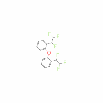 FC(F)C(F)c1ccccc1Oc1ccccc1C(F)C(F)F